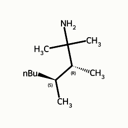 CCCC[C@H](C)[C@@H](C)C(C)(C)N